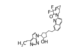 C=Cc1ncnc2c1ccn2C1CC(CCc2ccc3ccc(N(CC4CC4)C(=O)C(F)(F)F)nc3c2)C[C@H]1O